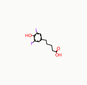 O=C(O)CCCCc1cc(I)c(O)c(I)c1